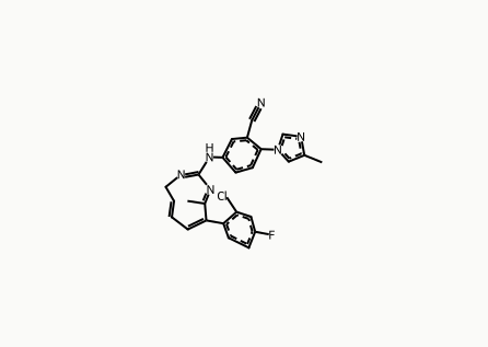 CC1=N\C(Nc2ccc(-n3cnc(C)c3)c(C#N)c2)=N/C/C=C/C=C\1c1ccc(F)cc1Cl